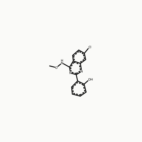 CONc1nc(-c2ccccc2O)nc2cc(Cl)ccc12